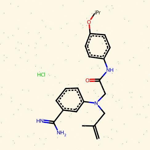 C=C(C)CN(CC(=O)Nc1ccc(OC(C)C)cc1)c1cccc(C(=N)N)c1.Cl